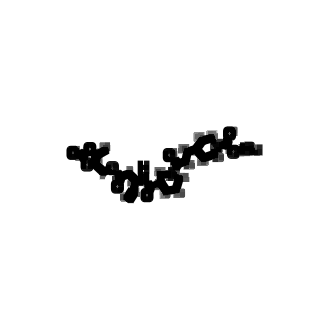 C#CC(CC(=O)OCc1oc(=O)oc1C)NC(=O)[C@@H]1CCCN(C(=O)CCC2CCN(C(=O)OC(C)(C)C)CC2)C1